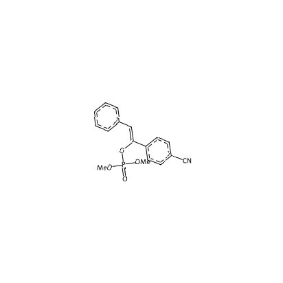 COP(=O)(OC)OC(=Cc1ccccc1)c1ccc(C#N)cc1